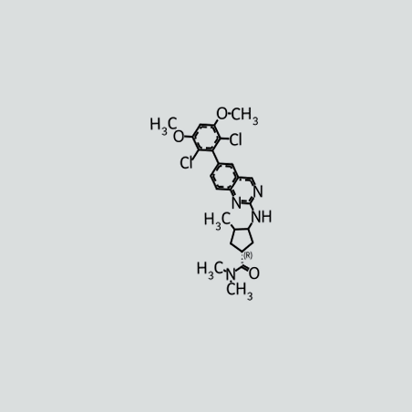 COc1cc(OC)c(Cl)c(-c2ccc3nc(NC4C[C@H](C(=O)N(C)C)CC4C)ncc3c2)c1Cl